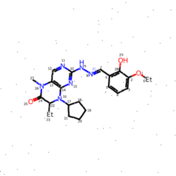 CCOc1cccc(/C=N/Nc2ncc3c(n2)N(C2CCCC2)C(CC)C(=O)N3C)c1O